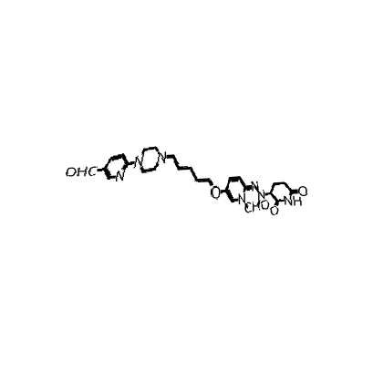 CN(/N=c1/ccc(OCCCCCN2CCN(c3ccc(C=O)cn3)CC2)cn1C=O)C1CCC(=O)NC1=O